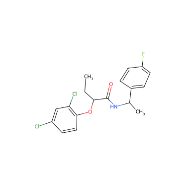 CCC(Oc1ccc(Cl)cc1Cl)C(=O)NC(C)c1ccc(F)cc1